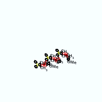 COc1ccc2c(c1)CCC2(C)OC(=O)COc1c(C)cc([S+](c2ccccc2)c2cccc(COc3cccc4c3C(C)(OC(=O)COc3c(C)cc([S+](c5ccccc5)c5cccc(-c6ccc(OC)c7c6C(C)(OC(=O)COc6c(C)cc([S+](c8ccccc8)c8ccccc8)cc6C)CC7)c5)cc3C)CC4)c2)cc1C